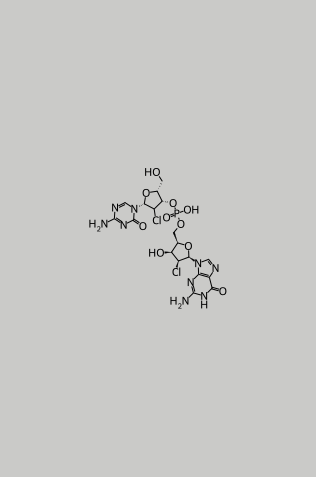 Nc1ncn([C@@H]2O[C@H](CO)[C@H](OP(=O)(O)OC[C@H]3O[C@@H](n4cnc5c(=O)[nH]c(N)nc54)[C@@H](Cl)[C@H]3O)C2Cl)c(=O)n1